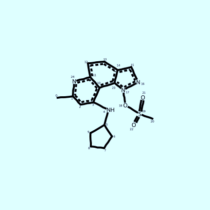 Cc1cc(NC2CCCC2)c2c(ccc3cnn(OS(C)(=O)=O)c32)n1